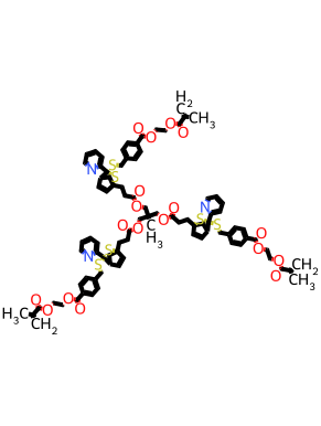 C=C(C)C(=O)OCCOC(=O)c1ccc(CSC2(c3ccccn3)SC3(CCC(=O)OCC(C)(COC(=O)CCC45C=CC(C4)C(SCc4ccc(C(=O)OCCOC(=O)C(=C)C)cc4)(c4ccccn4)S5)COC(=O)CCC45C=CC(C4)C(SCc4ccc(C(=O)OCCOC(=O)C(=C)C)cc4)(c4ccccn4)S5)C=CC2C3)cc1